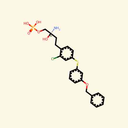 N[C@@](O)(CCc1ccc(Sc2cccc(OCc3ccccc3)c2)cc1Cl)COP(=O)(O)O